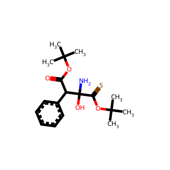 CC(C)(C)OC(=O)C(c1ccccc1)C(N)(O)C(=S)OC(C)(C)C